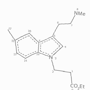 CCOC(=O)CCn1cc(CCNC)c2cc(C)ccc21